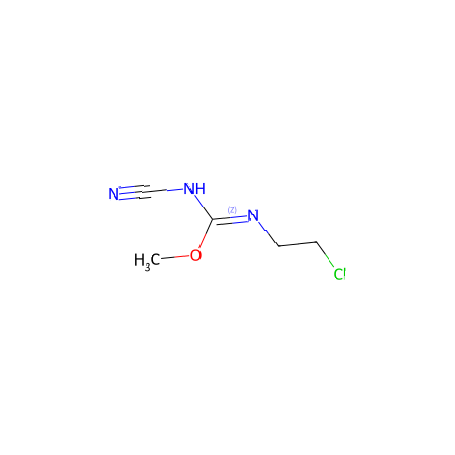 CO/C(=N\CCCl)NC#N